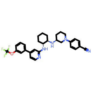 N#Cc1ccc(N2CCC[C@H](N[C@@H]3CCCC[C@H]3Nc3cc(-c4cccc(OC(F)(F)F)c4)ccn3)C2)cc1